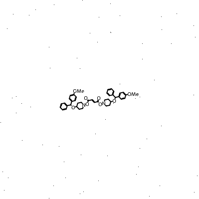 COc1ccc(C(OC2CCN(OC(=O)/C=C/C(=O)ON3CCC(OC(c4ccccc4)c4ccc(OC)cc4)CC3)CC2)c2ccccc2)cc1